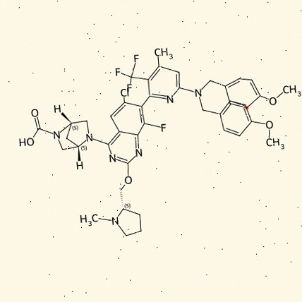 COc1ccc(CN(Cc2ccc(OC)cc2)c2cc(C)c(C(F)(F)F)c(-c3c(Cl)cc4c(N5C[C@@H]6C[C@H]5CN6C(=O)O)nc(OC[C@@H]5CCCN5C)nc4c3F)n2)cc1